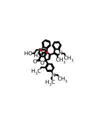 CCc1cc(N(CC)CC)ccc1C1(/C=C(/c2c(C)n(CC)c3ccccc23)c2c(C)n(CCO)c3ccccc23)OC(=O)c2ccccc21